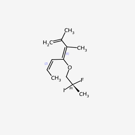 C=C(C)/C(C)=C(\C=C/C)OC[C@](C)(F)I